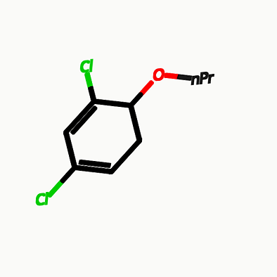 CCCOC1CC=C(Cl)C=C1Cl